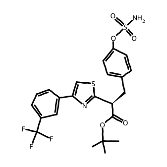 CC(C)(C)OC(=O)[C@H](Cc1ccc(OS(N)(=O)=O)cc1)c1nc(-c2cccc(C(F)(F)F)c2)cs1